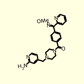 CON=C(c1ccc(C(=O)N2CCN(Cc3ccnc(N)c3)CC2)cc1)c1ccccn1